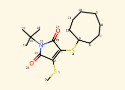 CSC1=C(SC2CCCCCCC2)C(=O)N(C(C)(C)C)C1=O